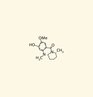 C=Nc1cc(O)c(OC)cc1C(=O)N1CCCC[C@H]1C